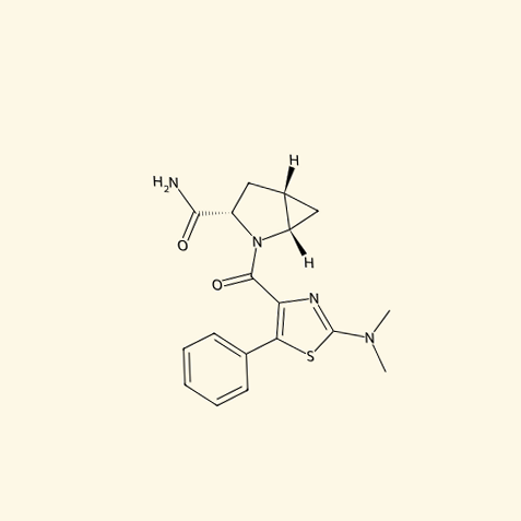 CN(C)c1nc(C(=O)N2[C@H](C(N)=O)C[C@@H]3C[C@@H]32)c(-c2ccccc2)s1